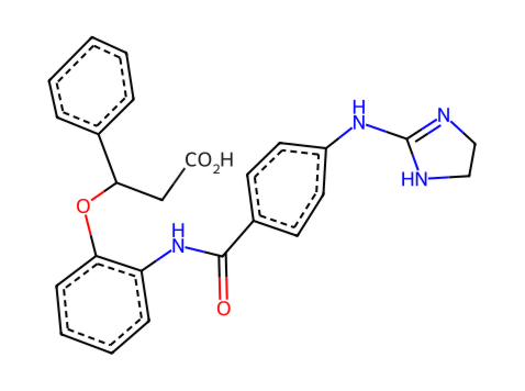 O=C(O)CC(Oc1ccccc1NC(=O)c1ccc(NC2=NCCN2)cc1)c1ccccc1